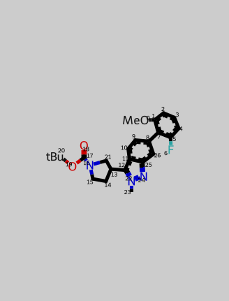 COc1cccc(F)c1-c1ccc2c(C3CCN(C(=O)OC(C)(C)C)C3)n(C)nc2c1